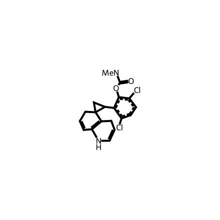 CNC(=O)Oc1c(Cl)ccc(Cl)c1C1CC12CC=CC1=C2CC=CN1